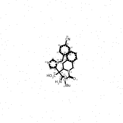 CC(C)(C)OC(=O)N1Cc2ccccc2CC1C(C(N)=O)(C(=O)O)c1cncn1Cc1ccc(C#N)cc1